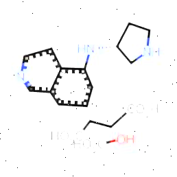 O=C(O)CCC(=O)O.O=C(O)O.c1cc(N[C@@H]2CCNC2)c2ccncc2c1